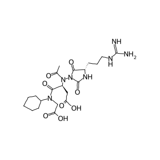 CC(=O)N([C@@H](CC(=O)O)C(=O)N(CC(=O)O)C1CCCCC1)N1C(=O)N[C@@H](CCCNC(=N)N)C1=O